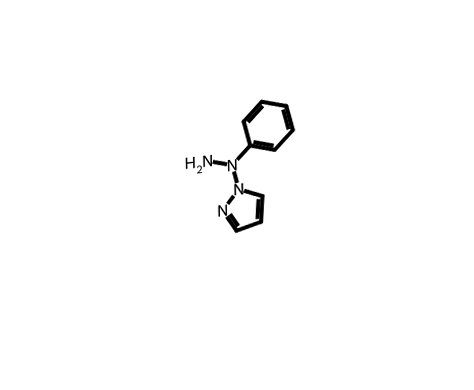 NN(c1ccccc1)n1cccn1